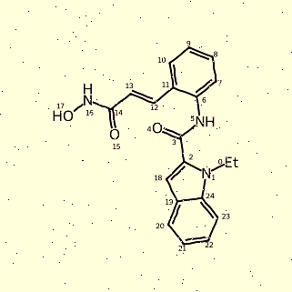 CCn1c(C(=O)Nc2ccccc2/C=C/C(=O)NO)cc2ccccc21